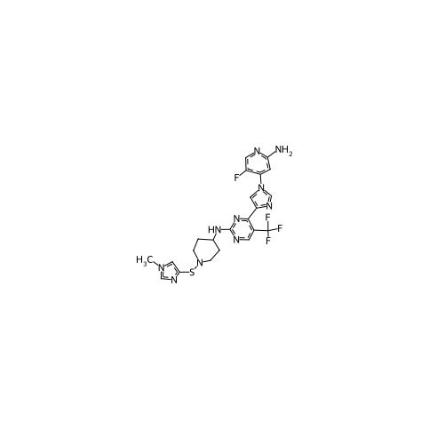 Cn1cnc(SN2CCC(Nc3ncc(C(F)(F)F)c(-c4cn(-c5cc(N)ncc5F)cn4)n3)CC2)c1